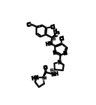 C[C@@H](Nc1nc(N2CC[C@H](NC(=O)[C@H]3CCCN3)C2)ncc1Cl)c1ccc(Cl)cc1Cl